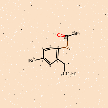 CCOC(=O)Cc1cc(C(C)(C)C)ccc1SC(=O)C(C)C